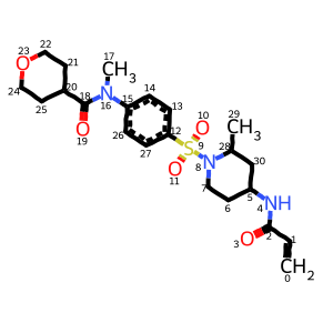 C=CC(=O)NC1CCN(S(=O)(=O)c2ccc(N(C)C(=O)C3CCOCC3)cc2)C(C)C1